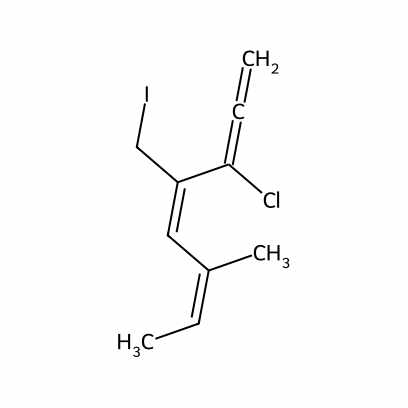 C=C=C(Cl)/C(=C\C(C)=C/C)CI